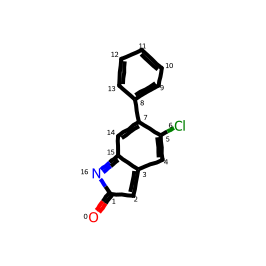 O=C1C=c2cc(Cl)c(-c3ccccc3)cc2=N1